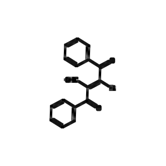 CCC(C(=O)c1ccccc1)=C([C]=O)C(=O)c1ccccc1